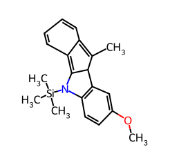 COc1ccc2c(c1)C1C(C)=c3ccccc3=C1N2[Si](C)(C)C